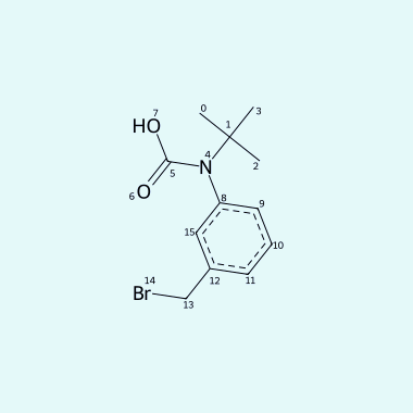 CC(C)(C)N(C(=O)O)c1cccc(CBr)c1